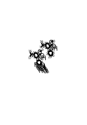 COC(=O)C1(Nc2ccccc2)CCN(C(C)C)CC1.COC(=O)C1(Nc2ccccc2)CCN(C(C)C)CC1.Cl.Cl.Cl.Cl.O